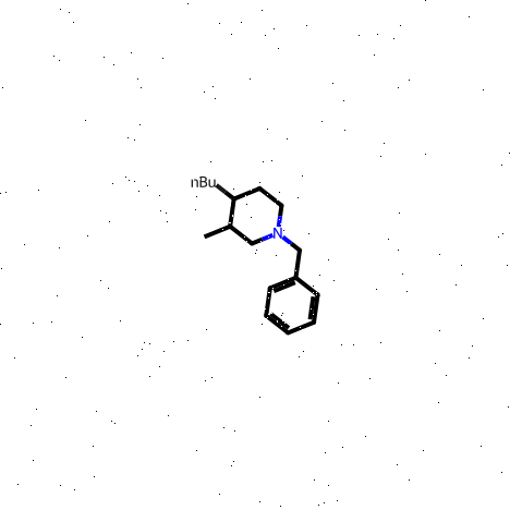 CCCCC1CCN(Cc2ccccc2)CC1C